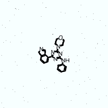 C1=NCc2cccc(-c3nc(Nc4ccccc4)nc(N4CCOCC4)n3)c21